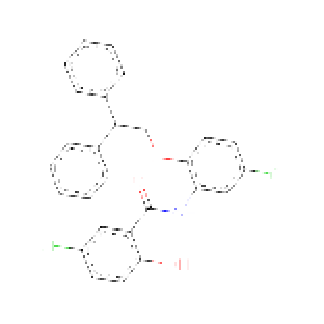 O=C(Nc1cc(Cl)ccc1OCC(c1ccccc1)c1ccccc1)c1cc(Cl)ccc1O